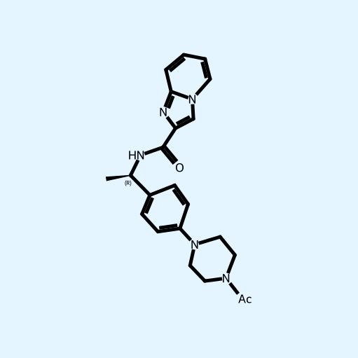 CC(=O)N1CCN(c2ccc([C@@H](C)NC(=O)c3cn4ccccc4n3)cc2)CC1